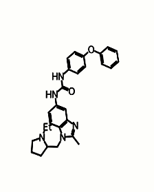 CCN1CCCC1Cn1c(C)nc2cc(NC(=O)Nc3ccc(Oc4ccccc4)cc3)ccc21